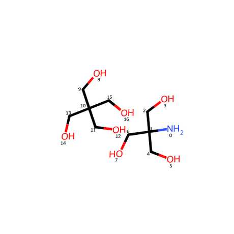 NC(CO)(CO)CO.OCC(CO)(CO)CO